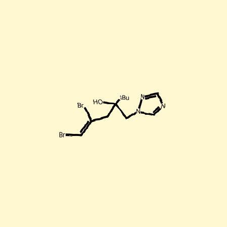 CC(C)(C)C(O)(C/C(Br)=C/Br)Cn1cncn1